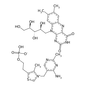 Cc1cc2nc3c(=O)[nH]c(=O)nc-3n(C[C@H](O)[C@H](O)[C@H](O)CO)c2cc1C.Cc1ncc(C[n+]2csc(CCOP(=O)([O-])O)c2C)c(N)n1